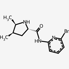 C[C@@H]1C[C@@H](C(=O)Nc2cccc(Br)n2)N[C@@H]1C